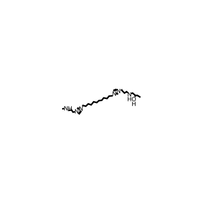 CCC(O)CNCCC[n+]1ccn(CCCCCCCCCCCCn2cc[n+](CCCNC)c2)c1